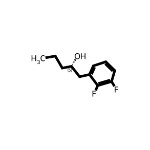 CCC[C@H](O)Cc1cccc(F)c1F